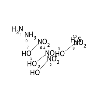 N.N.O=[N+]([O-])O.O=[N+]([O-])O.O=[N+]([O-])O.O=[N+]([O-])O.S